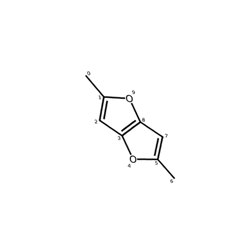 Cc1cc2oc(C)cc2o1